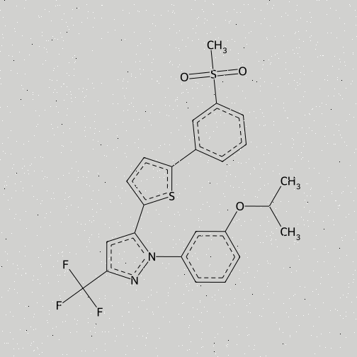 CC(C)Oc1cccc(-n2nc(C(F)(F)F)cc2-c2ccc(-c3cccc(S(C)(=O)=O)c3)s2)c1